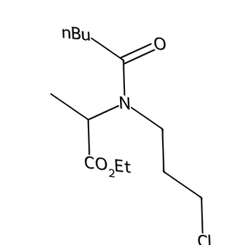 CCCCC(=O)N(CCCCl)C(C)C(=O)OCC